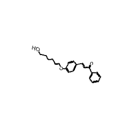 O=C(C=Cc1ccc(OCCCCCCO)cc1)c1ccccc1